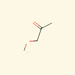 COOCC(C)=O